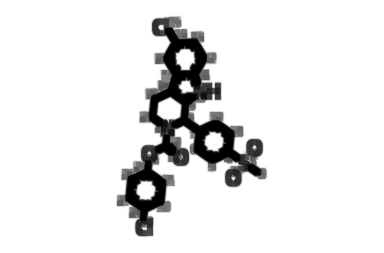 CS(=O)(=O)c1ccc(C2c3[nH]c4ccc(Cl)cc4c3CCN2C(=O)Oc2ccc(Cl)cc2)cc1